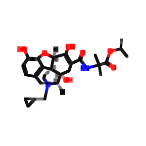 CC(C)OC(=O)C(C)(C)NC(=O)C1=C(O)[C@@H]2Oc3c(O)ccc4c3[C@@]23CCN(CC2CC2)[C@H](C4)[C@]3(O)C1